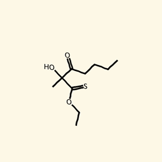 CCCCC(=O)C(C)(O)C(=S)OCC